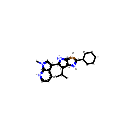 CC(C)c1c(-c2cn(C)c3ncccc23)[nH]c2sc(C3CCCCC3)nc12